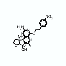 Cc1nc2c(OCCc3ccc([N+](=O)[O-])cc3)nc(N)nc2n([C@@]2(O)CCO[C@@H]2CO)c1=O